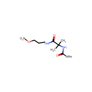 CNC(=O)NC(C)(C)C(=O)NCCCO[N+](=O)[O-]